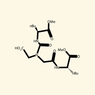 CCCC[C@H](NC(=O)CN(CC(=O)O)C(=O)N[C@@H](CCCC)C(=O)OC)C(=O)OC